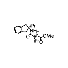 COC(=O)N[C@H](C(=O)NC1(C(C)C)Cc2ccccc2C1)C(C)C